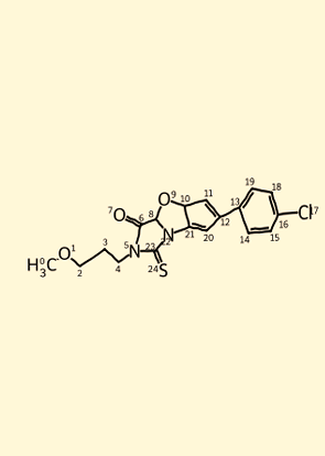 COCCCN1C(=O)C2OC3C=C(c4ccc(Cl)cc4)C=C3N2C1=S